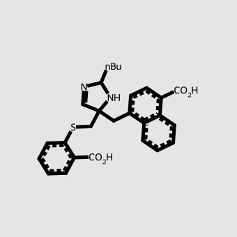 CCCCC1N=CC(CSc2ccccc2C(=O)O)(Cc2ccc(C(=O)O)c3ccccc23)N1